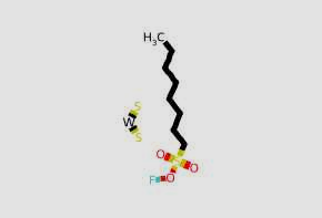 CCCCCCCCS(=O)(=O)OF.[S]=[W]=[S]